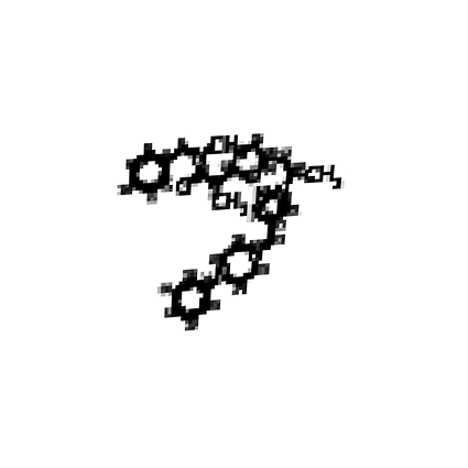 C[C@@H](C(=O)N(C)Cc1ccccc1)[C@H]1CC[C@@H](C[C@H](C)n2cc(CN3CCN(c4ccccc4)CC3)nn2)O1